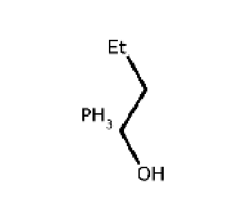 CCCCO.P